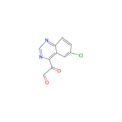 O=CC(=O)c1ncnc2ccc(Cl)cc12